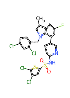 Cc1cn(Cc2ccc(Cl)cc2Cl)c2c(-c3ccc(NS(=O)(=O)c4cc(Cl)c(Cl)s4)nc3)cc(F)cc12